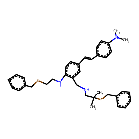 CN(C)c1ccc(/C=C/c2ccc(NCCSCc3ccccc3)c(CNCC(C)(C)SCc3ccccc3)c2)cc1